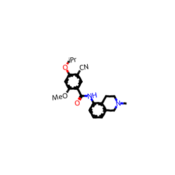 COc1cc(OC(C)C)c(C#N)cc1C(=O)Nc1cccc2c1CCN(C)C2